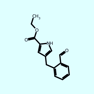 CCOC(=O)c1cc(Cc2ccccc2C=O)c[nH]1